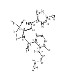 Cc1cccc(C(=O)N2CCC(F)(F)[C@H]2CNc2ncc(Cl)cn2)c1N/N=C\C=N